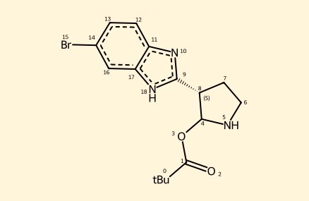 CC(C)(C)C(=O)OC1NCC[C@H]1c1nc2ccc(Br)cc2[nH]1